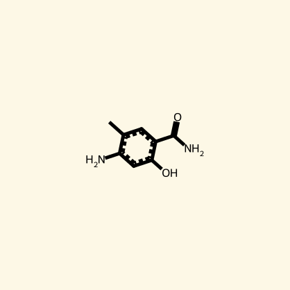 Cc1cc(C(N)=O)c(O)cc1N